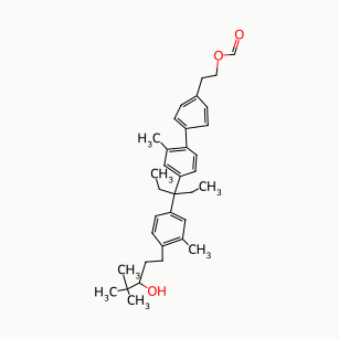 CCC(CC)(c1ccc(CCC(O)C(C)(C)C)c(C)c1)c1ccc(-c2ccc(CCOC=O)cc2)c(C)c1